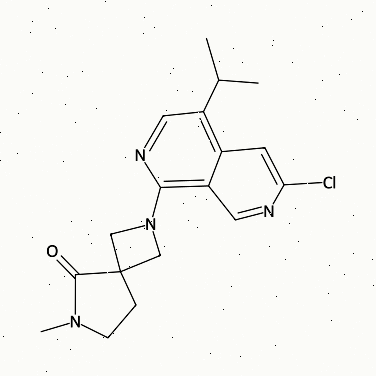 CC(C)c1cnc(N2CC3(CCN(C)C3=O)C2)c2cnc(Cl)cc12